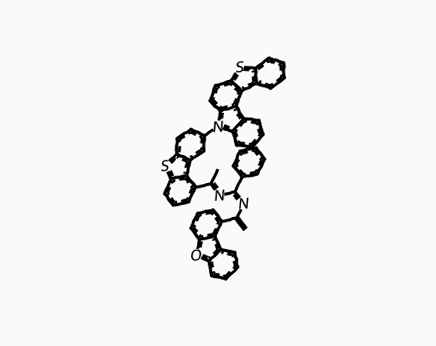 C=C(/N=C(\N=C(/C)c1cccc2sc3ccc(-n4c5ccccc5c5c6c(ccc54)sc4ccccc46)cc3c12)c1ccccc1)c1cccc2oc3ccccc3c12